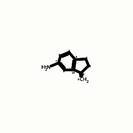 C=C1CCc2ccc(N)cc21